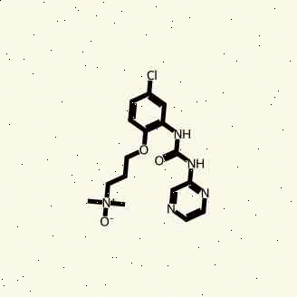 C[N+](C)([O-])CCCOc1ccc(Cl)cc1NC(=O)Nc1cnccn1